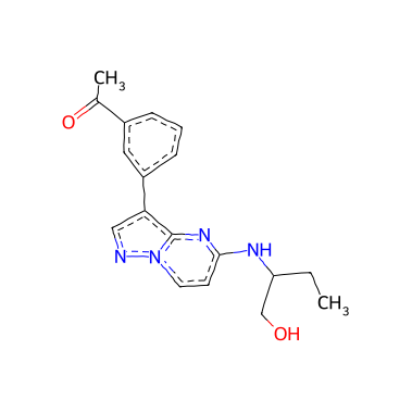 CCC(CO)Nc1ccn2ncc(-c3cccc(C(C)=O)c3)c2n1